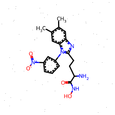 Cc1cc2nc(CCC(N)C(=O)NO)n(-c3cccc([N+](=O)[O-])c3)c2cc1C